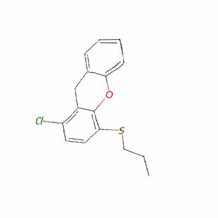 CCCSc1ccc(Cl)c2c1Oc1ccccc1C2